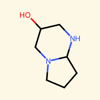 OC1CNC2CCCN2C1